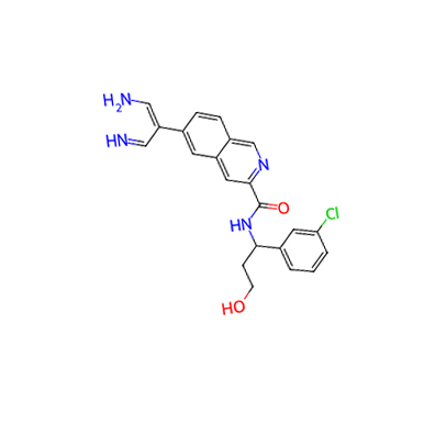 N=C/C(=C\N)c1ccc2cnc(C(=O)NC(CCO)c3cccc(Cl)c3)cc2c1